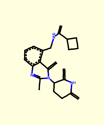 C=C1CCC(N2C(=C)c3c(CNC(=C)C4CCC4)cccc3N=C2C)C(=C)N1